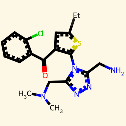 CCc1cc(C(=O)c2ccccc2Cl)c(-n2c(CN)nnc2CN(C)C)s1